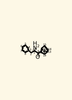 N[C@@H](Cc1ccccc1)C(=O)N1OC2C=CC1CC2